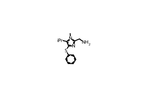 CC(C)c1c(Sc2ccccc2)nc(CN)n1C